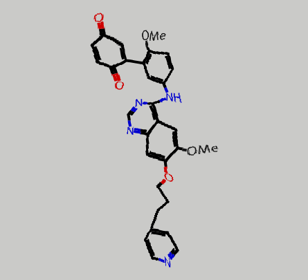 COc1cc2c(Nc3ccc(OC)c(C4=CC(=O)C=CC4=O)c3)ncnc2cc1OCCCc1ccncc1